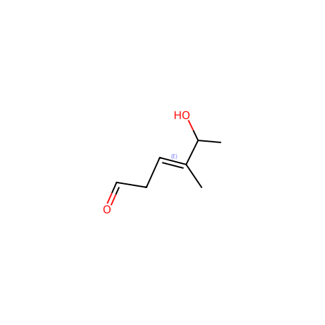 C/C(=C\CC=O)C(C)O